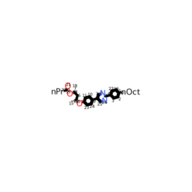 CCCCCCCCc1ccc(-c2ncc(-c3ccc(O[C@H](C)C[C@@H](C)OC(=O)CCC)cc3)cn2)cc1